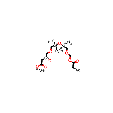 COOC(=O)[CH2][Co](=[O])[CH2]OC[Si](C)(C)O[Si](C)(C)COCOC(=O)CC(C)=O